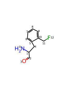 NC(C=O)Cc1ccccc1CF